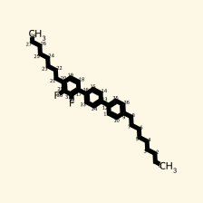 CCCCCCCCCc1ccc(-c2ccc(-c3ccc(CCCCCCCC)c(F)c3F)cc2)cc1